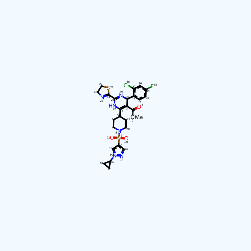 COC(=O)C1=C(C2CCN(S(=O)(=O)c3cnn(C4CC4)c3)CC2)NC(C2=NCCS2)=NC1c1ccc(F)cc1Cl